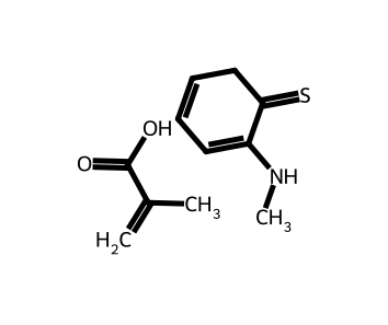 C=C(C)C(=O)O.CNC1=CC=CCC1=S